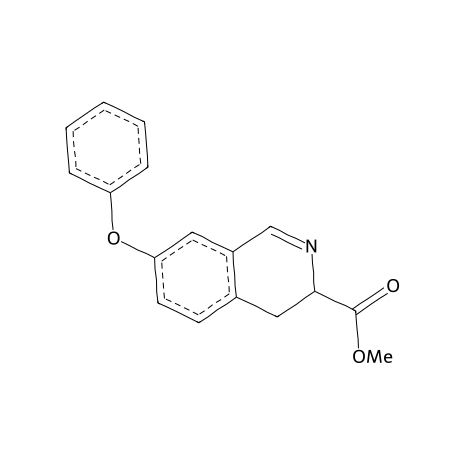 COC(=O)C1Cc2ccc(Oc3ccccc3)cc2C=N1